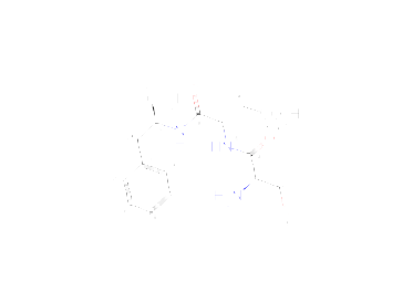 N[C@H](CO)C(=O)N[C@@H](CC(=O)O)C(=O)N[C@@H](Cc1ccccc1)C(=O)O